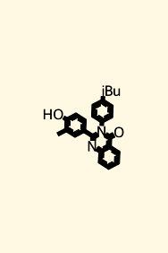 CCC(C)c1ccc(-n2c(-c3ccc(O)c(C)c3)nc3ccccc3c2=O)cc1